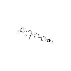 CC1CCC(C2CCC(C3CCC(C4CCCC(F)C4)C(F)C3F)CC2)CC1